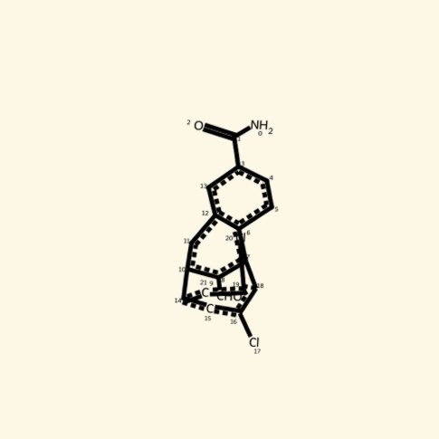 NC(=O)c1ccc2c3c(C=O)c(cc2c1)-c1cc(Cl)c-3c(Cl)c1